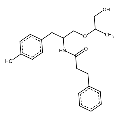 CC(CO)OCC(Cc1ccc(O)cc1)NC(=O)CCc1ccccc1